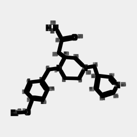 CCOc1ccc(CN2CCN(Cc3cccnc3)CC2CC(N)=O)cc1